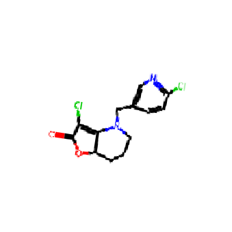 O=C1OC2CCCN(Cc3ccc(Cl)nc3)C2=C1Cl